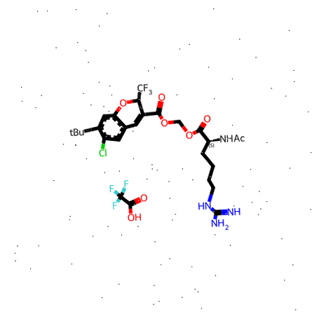 CC(=O)N[C@@H](CCCCNC(=N)N)C(=O)OCOC(=O)C1=Cc2cc(Cl)c(C(C)(C)C)cc2OC1C(F)(F)F.O=C(O)C(F)(F)F